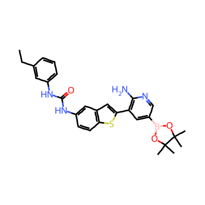 CCc1cccc(NC(=O)Nc2ccc3sc(-c4cc(B5OC(C)(C)C(C)(C)O5)cnc4N)cc3c2)c1